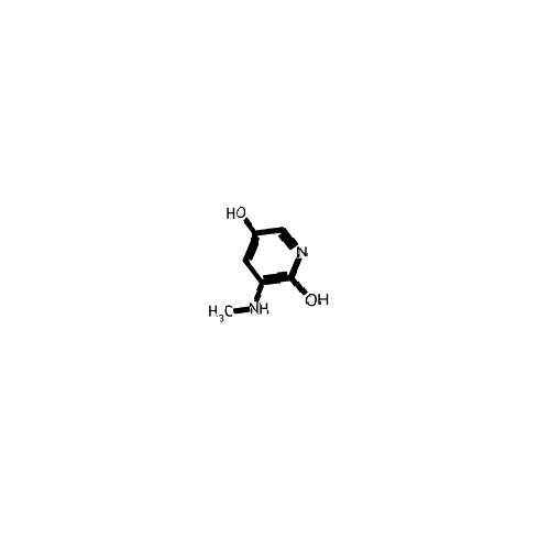 CNc1cc(O)cnc1O